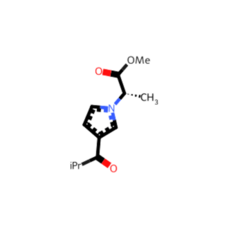 COC(=O)[C@H](C)n1ccc(C(=O)C(C)C)c1